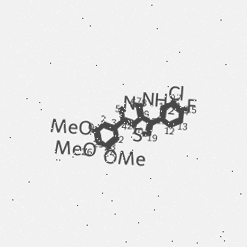 COc1cc(-c2cnc(N)c3c(-c4ccc(F)c(Cl)c4)csc23)cc(OC)c1OC